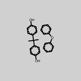 CC(C)(c1ccc(O)cc1)c1ccc(O)cc1.c1ccc(Oc2ccccc2)cc1